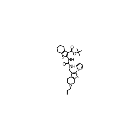 C=CCN1CCc2c(sc(-n3cccc3)c2CNC(=O)Nc2sc3c(c2C(=O)OC(C)(C)C)CCCC3)C1